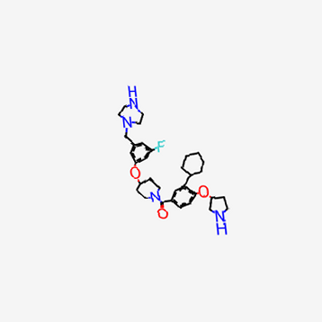 O=C(c1ccc(O[C@H]2CCNC2)c(C2CCCCC2)c1)N1CCC(Oc2cc(F)cc(CN3CCNCC3)c2)CC1